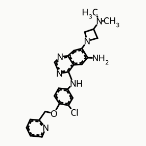 CN(C)C1CN(c2cc3ncnc(Nc4ccc(OCc5ccccn5)c(Cl)c4)c3cc2N)C1